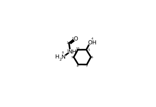 NNC=O.OC1CCCCC1